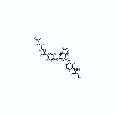 C=CC(=O)Nc1cccc(Oc2nc(Nc3ccc(C(=O)OCCCN(C)C)cc3)nc3ccsc23)c1